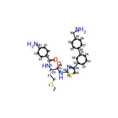 CSCC[C@H](NC(=O)c1ccc(N)cc1)C(=O)Nc1nc(-c2cccc(-c3ccc(CN)cc3)c2)cs1